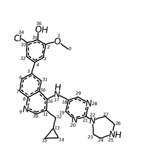 COc1cc(-c2ccc3ncc(CC4CC4)c(Nc4cnc(N5CCNCC5)nc4)c3c2)cc(Cl)c1O